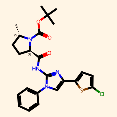 C[C@H]1CC[C@H](C(=O)Nc2nc(-c3ccc(Cl)s3)cn2-c2ccccc2)N1C(=O)OC(C)(C)C